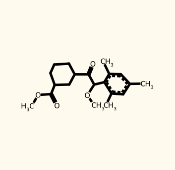 COC(=O)C1CCCC(C(=O)C(OC)c2c(C)cc(C)cc2C)C1